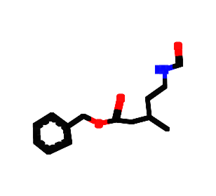 CC(CCNC=O)CC(=O)OCc1ccccc1